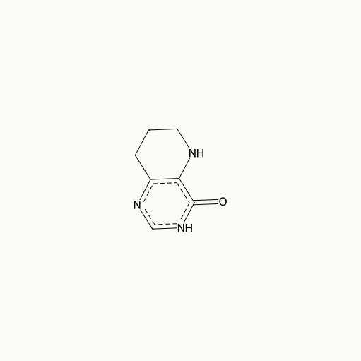 O=c1[nH]cnc2c1NCCC2